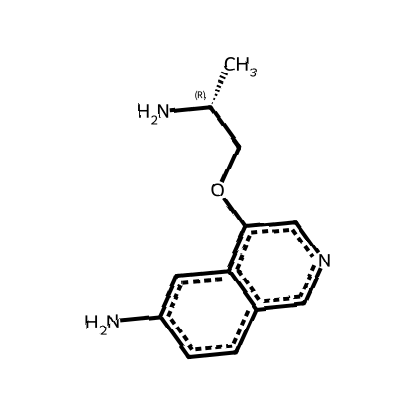 C[C@@H](N)COc1cncc2ccc(N)cc12